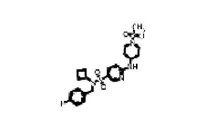 CS(=O)(=O)N1CCC(Nc2ccc(S(=O)(=O)N(Cc3ccc(F)cc3)C3CCC3)cn2)CC1